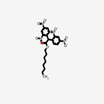 CCCCCCCCOC(=O)C(c1ccc([N+](=O)[O-])cc1[N+](=O)[O-])c1ccc([N+](=O)[O-])cc1[N+](=O)[O-]